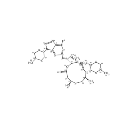 C/C(=C\c1cc(F)c2nnn(C3CCC(O)CC3)c2c1)[C@H]1OC(=O)C[C@H](O)CC[C@H](C)[C@@H](C2CN(C)CCN2C(=O)O)/C=C/[C@@H]1C